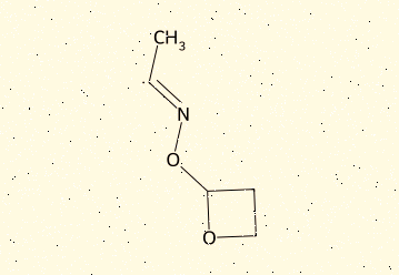 C[C]=NOC1CCO1